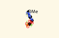 COC(C)(C)c1nsc(N2CCC(N3CCC(Oc4cc(F)c(S(C)(=O)=O)cc4F)C3=O)CC2)n1